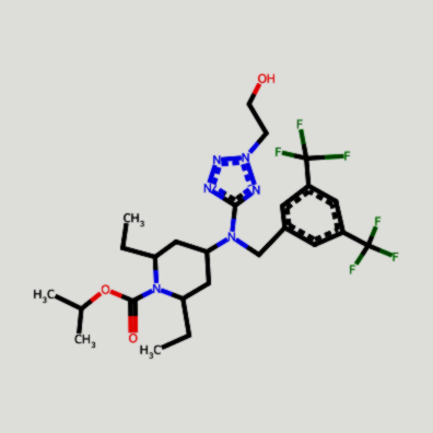 CCC1CC(N(Cc2cc(C(F)(F)F)cc(C(F)(F)F)c2)c2nnn(CCO)n2)CC(CC)N1C(=O)OC(C)C